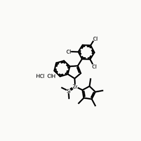 CC1=C(C)C(C)[C]([Zr]([CH]2C=C(c3c(Cl)cc(Cl)cc3Cl)c3ccccc32)=[Si](C)C)=C1C.Cl.Cl